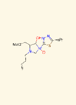 C=CCCN1C[N+]([O-])(c2nnc(CCC)s2)C(O)C1COC